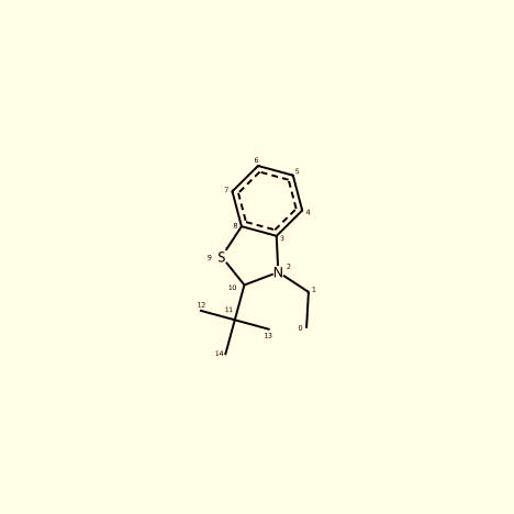 CCN1c2ccccc2SC1C(C)(C)C